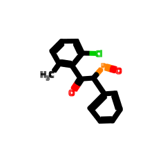 Cc1cccc(Cl)c1C(=O)C(P=O)c1ccccc1